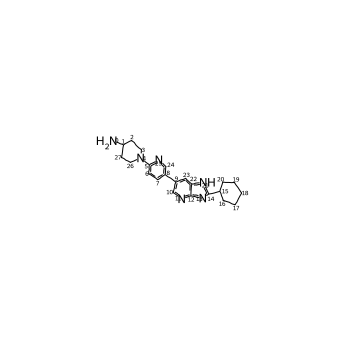 NC1CCN(c2ccc(-c3cnc4nc(C5CCCCC5)[nH]c4c3)cn2)CC1